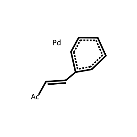 CC(=O)C=Cc1ccccc1.[Pd]